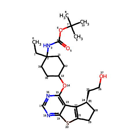 CCC1(NC(=O)OC(C)(C)C)CCC(Oc2ncnc3sc4c(c23)[C@@H](CCO)CC4)CC1